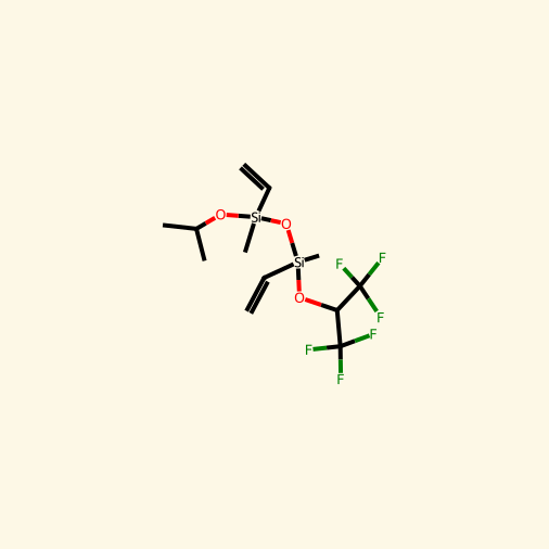 C=C[Si](C)(OC(C)C)O[Si](C)(C=C)OC(C(F)(F)F)C(F)(F)F